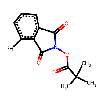 [2H]c1cccc2c1C(=O)N(OC(=O)C(C)(C)C)C2=O